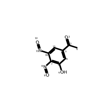 CC(=O)c1cc(O)c(N=O)c(N=O)c1